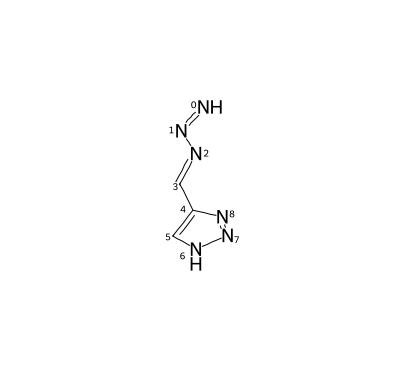 N=NN=Cc1c[nH]nn1